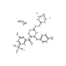 C[C@@H]1CN(CCN2CCN(C(=O)c3cc(F)cc(C(F)(F)F)c3)C(Cc3ccc(Cl)cc3)C2)C[C@H](C)O1.Cl.Cl